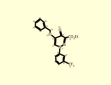 CCOC(=O)c1nn(-c2cccc(C(F)(F)F)c2)cc(OCc2ccccc2)c1=O